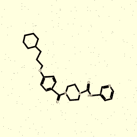 O=C(Nc1cccnc1)N1CCN(C(=O)c2ccc(OCCCC3CCCCC3)cc2)CC1